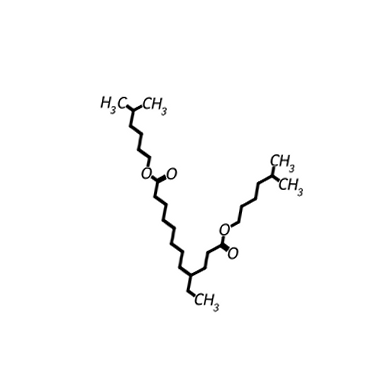 CCC(CCCCCCCC(=O)OCCCCC(C)C)CCC(=O)OCCCCC(C)C